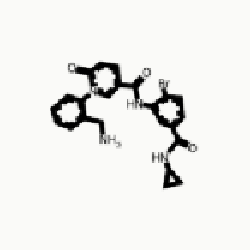 NCc1ccccc1-n1cc(C(=O)Nc2cc(C(=O)NC3CC3)ccc2Br)ccc1=O